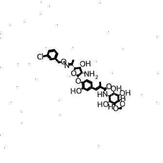 CC(=Cc1ccc(O[C@@H]2O[C@H](C(C)=NOCc3cccc(Cl)c3)[C@@H](O)[C@@H]2N)c(O)c1)C(=O)N[C@@H]1[C@H](O)[C@@H](O)[C@H]2OCO[C@H]2[C@@H]1O